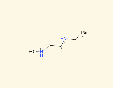 CC(C)(C)CNCCN[C]=O